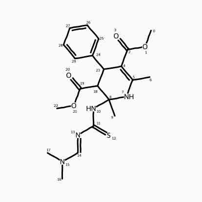 COC(=O)C1=C(C)NC(C)(NC(=S)N=CN(C)C)C(C(=O)OC)C1c1ccccc1